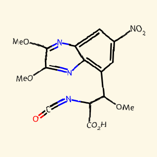 COc1nc2cc([N+](=O)[O-])cc(C(OC)C(N=C=O)C(=O)O)c2nc1OC